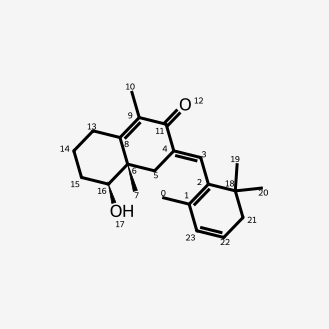 CC1=C(C=C2C[C@@]3(C)C(=C(C)C2=O)CCC[C@@H]3O)C(C)(C)CC=C1